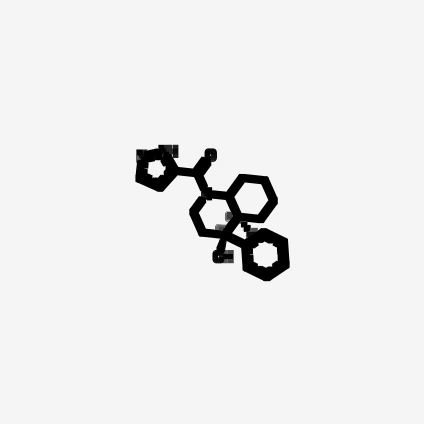 O=C(c1ccn[nH]1)N1CC[C@@](O)(c2ccccc2)[C@@H]2CCCCC21